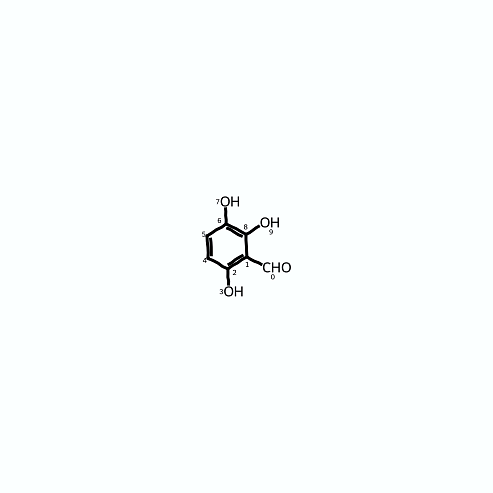 O=Cc1c(O)ccc(O)c1O